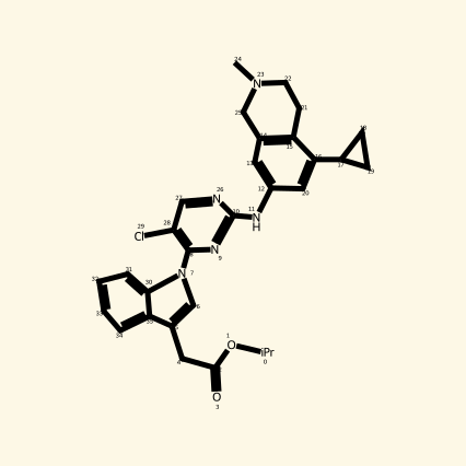 CC(C)OC(=O)Cc1cn(-c2nc(Nc3cc4c(c(C5CC5)c3)CCN(C)C4)ncc2Cl)c2ccccc12